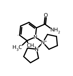 CC1(C)[C]=CC=C(C(N)=O)N1[N+]1(N2CCCC2)CCCC1